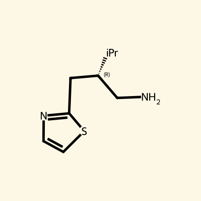 CC(C)[C@H](CN)Cc1nccs1